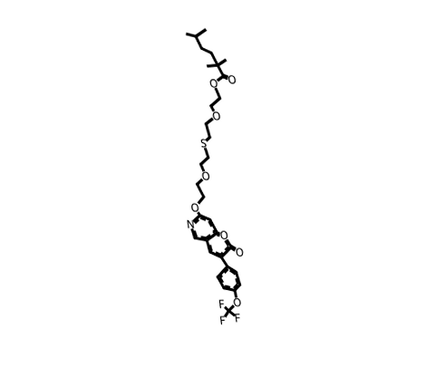 CC(C)CCC(C)(C)C(=O)OCCOCCSCCOCCOc1cc2oc(=O)c(-c3ccc(OC(F)(F)F)cc3)cc2cn1